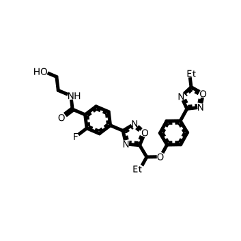 CCc1nc(-c2ccc(OC(CC)c3nc(-c4ccc(C(=O)NCCO)c(F)c4)no3)cc2)no1